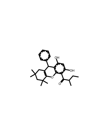 CCC(C)C(=O)c1c(O)cc(O)c2c1OC1=C(CC(C)(C)CC1(C)C)C2c1ccccc1